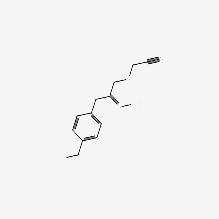 CCc1ccc(CC(CNCC#N)=NO)cc1